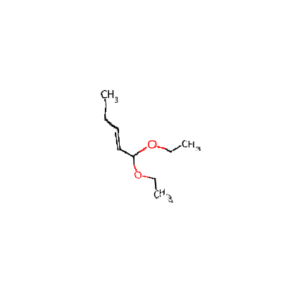 CC/C=C/C(OCC)OCC